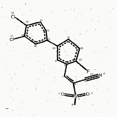 CS(=O)(=O)/C(C#N)=C/c1cc(-c2ccc(Cl)c(Cl)c2)ccc1F